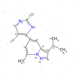 Cc1cc(-c2nc(Cl)ncc2F)cc2c(C(C)C)cnn12